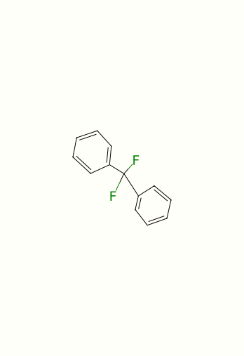 FC(F)(c1ccccc1)c1ccccc1